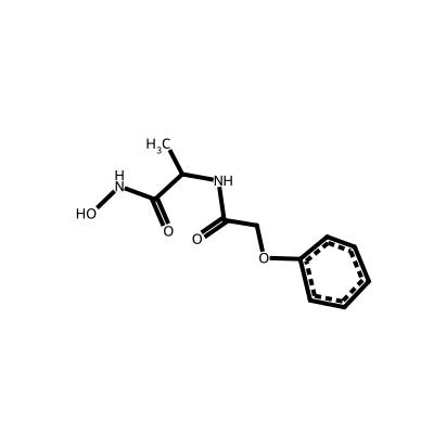 CC(NC(=O)COc1ccccc1)C(=O)NO